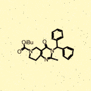 Cc1nc2c(c(=O)n1C(c1ccccc1)c1ccccc1)CN(C(=O)OCC(C)C)CC2